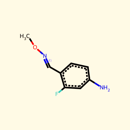 CO/N=C/c1ccc(N)cc1F